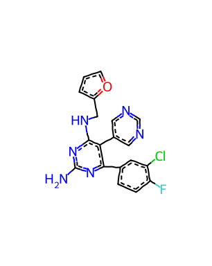 Nc1nc(NCc2ccco2)c(-c2cncnc2)c(-c2ccc(F)c(Cl)c2)n1